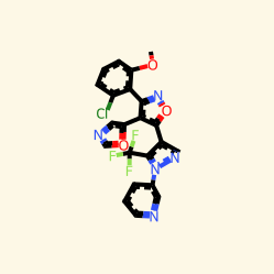 COc1cccc(Cl)c1-c1noc(-c2cnn(-c3cccnc3)c2C(F)(F)F)c1-c1cnco1